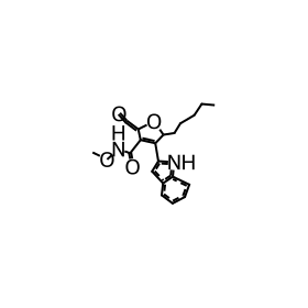 CCCCCC1OC(=C=O)C(C(=O)NOC)=C1c1cc2ccccc2[nH]1